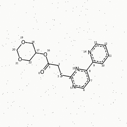 O=C(CSc1nccc(-c2ccccn2)n1)OC1COCOC1